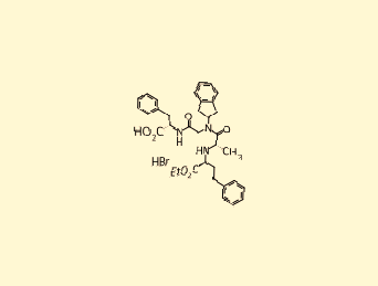 Br.CCOC(=O)[C@H](CCc1ccccc1)N[C@@H](C)C(=O)N(CC(=O)N[C@@H](Cc1ccccc1)C(=O)O)C1Cc2ccccc2C1